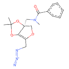 CN(C[C@]12COC(CN=[N+]=[N-])=C1OC(C)(C)O2)C(=O)c1ccccc1